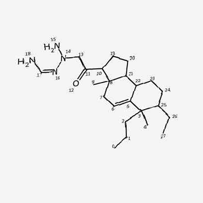 CCCC1(C)C2=CCC3(C)C(C(=O)CN(N)/N=C\N)CCC3C2CCC1CC